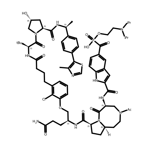 CC(=O)N1CC[C@H]2CC[C@@H](C(=O)N[C@@H](CCC(N)=O)COc3cccc(CCCC(=O)N[C@H](C(=O)N4C[C@H](O)C[C@H]4C(=O)N[C@@H](C)c4ccc(-c5scnc5C)cc4)C(C)(C)C)c3Cl)N2C(=O)[C@@H](NC(=O)c2cc3cc(C(=O)P(=O)(O)OCCN(C(C)C)C(C)C)ccc3[nH]2)C1